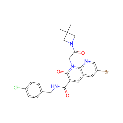 CC1(C)CN(C(=O)Cn2c(=O)c(C(=O)NCc3ccc(Cl)cc3)cc3cc(Br)cnc32)C1